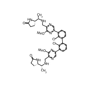 COc1nc(-c2cccc(-c3cccc(-c4cnc(CN[C@H](C)[C@@H]5CCC(=O)N5)c(OC)n4)c3Cl)c2Cl)cnc1CN[C@H](C)[C@@H]1CCC(=O)N1